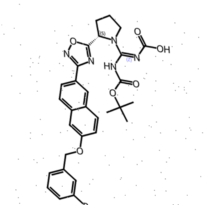 CC(C)(C)OC(=O)N/C(=N/C(=O)O)N1CCC[C@H]1c1nc(-c2ccc3cc(OCc4cccc(Br)c4)ccc3c2)no1